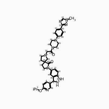 CC(C)Oc1ccc(C2NNc3ccc(N4CCC5(CCN(CC(=O)N6CCN(c7ccc(-c8ncn(C)n8)cc7)CC6)C5)C4=O)cc32)cn1